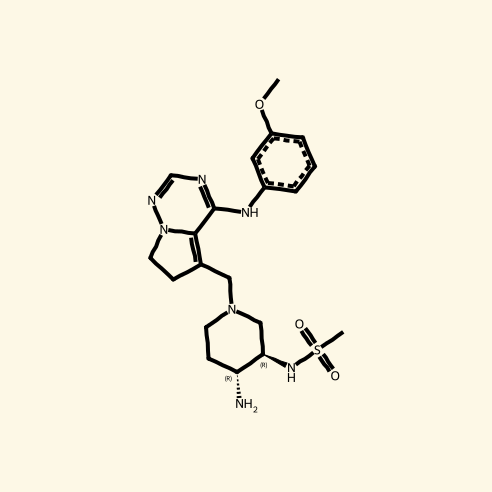 COc1cccc(NC2=NC=NN3CCC(CN4CC[C@@H](N)[C@H](NS(C)(=O)=O)C4)=C23)c1